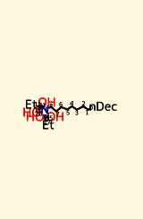 CCCCCCCCCCCCCCCCCCN(C(O)(O)CC)C(O)(O)CC